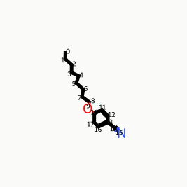 CCCCCCCCCOC1C=CC(C#N)=CC1